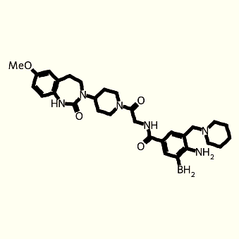 Bc1cc(C(=O)NCC(=O)N2CCC(N3CCc4cc(OC)ccc4NC3=O)CC2)cc(CN2CCCCC2)c1N